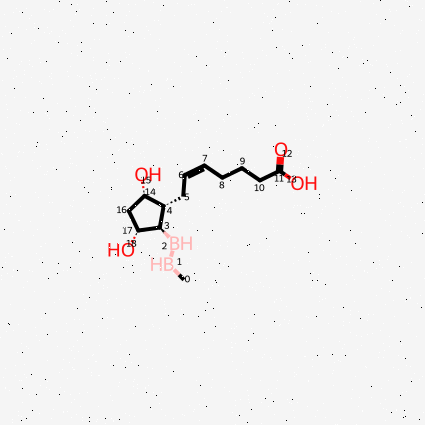 CBB[C@@H]1[C@@H](C/C=C\CCCC(=O)O)[C@@H](O)C[C@H]1O